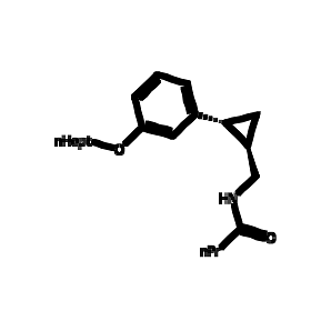 CCCCCCCOc1cccc([C@@H]2C[C@H]2CNC(=O)CCC)c1